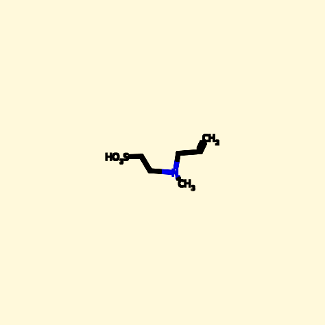 C=CCN(C)CCS(=O)(=O)O